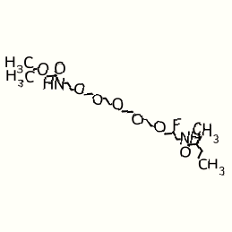 CCCC(CC)C(=O)NCC(F)COCCOCCOCCOCCOCCNC(=O)COC(C)C